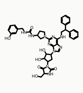 O=C(NCc1cccc(O)c1)NC1CCN(c2nc(NCC(c3ccccc3)c3ccccc3)c3ncn(C4CC(N5C(=O)NC(CO)C5=O)C(O)C4O)c3n2)C1